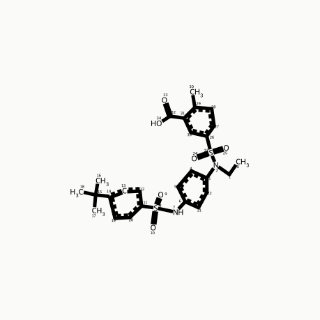 CCN(c1ccc(NS(=O)(=O)c2ccc(C(C)(C)C)cc2)cc1)S(=O)(=O)c1ccc(C)c(C(=O)O)c1